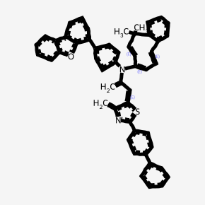 C=C(/C=c1/sc(-c2ccc(-c3ccccc3)cc2)nc1=C)N(C1=C/C=C/c2ccccc2C(C)(C)\C=C\1)c1ccc(-c2cccc3c2oc2ccccc23)cc1